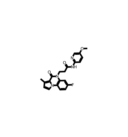 COc1ccc(NC(=O)CCn2c(=O)c3c(C)ccn3c3ccc(F)cc32)nc1